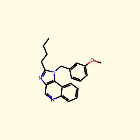 CCCCc1nc2cnc3ccccc3c2n1Cc1cccc(OC)c1